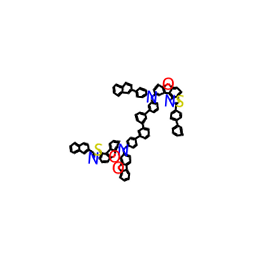 c1ccc(-c2ccc(-c3nc4c(ccc5oc6ccc(N(c7ccc(-c8ccc9ccccc9c8)cc7)c7cccc(-c8cccc(-c9cccc(-c%10ccc(N(c%11ccc%12c(c%11)oc%11ccccc%11%12)c%11cccc%12c%11oc%11ccc%13nc(-c%14ccc%15ccccc%15c%14)sc%13c%11%12)cc%10)c9)c8)c7)cc6c54)s3)cc2)cc1